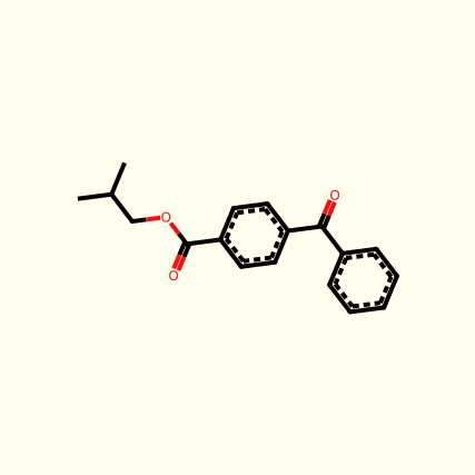 CC(C)COC(=O)c1ccc(C(=O)c2ccccc2)cc1